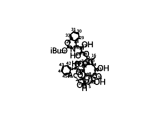 CC(=O)O[C@@]12CO[C@@H]1C[C@H](O)[C@@]1(C)C(=O)[C@H](O)C3=C(C)C(OC(=O)[C@H](O)[C@@H](NC(=O)OCC(C)C)c4ccccc4)C[C@@](O)([C@@H](OC(=O)c4ccccc4)[C@H]21)C3(C)C